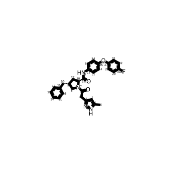 Cc1cc(CC(=O)N2C[C@H](Cc3ccccc3)C[C@H]2C(=O)Nc2ccc(Oc3ccc(F)cc3)cc2)n[nH]1